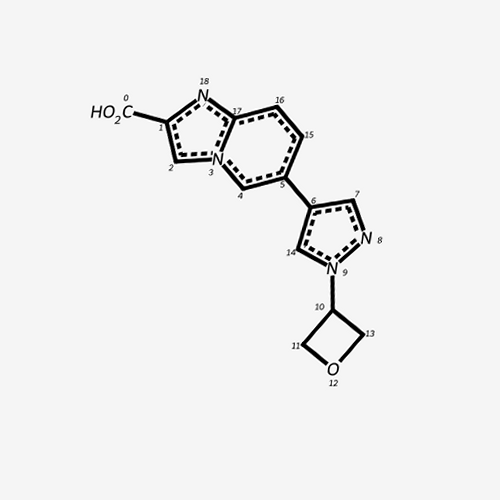 O=C(O)c1cn2cc(-c3cnn(C4COC4)c3)ccc2n1